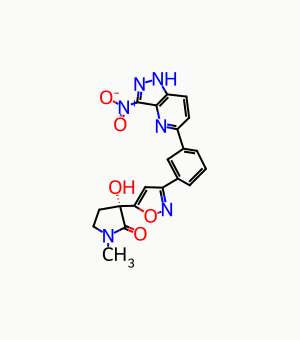 CN1CC[C@@](O)(c2cc(-c3cccc(-c4ccc5[nH]nc([N+](=O)[O-])c5n4)c3)no2)C1=O